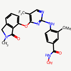 COc1cc(C(=O)NO)ccc1Nc1ncc(C(F)(F)F)c(Oc2cccc3c2C(=O)N(C)C3)n1